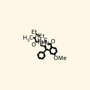 CCN(CC)C(C)C(=O)NCc1c(-c2ccccc2)c2cc(OC)ccc2c(=O)n1C